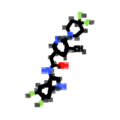 Cc1cc(CC(O)Nc2c[nH]c3cc(F)c(F)cc23)cnc1N1CCC(F)(F)CC1